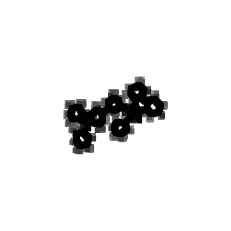 c1ccc(-c2nc3c4ccccc4c4ccccc4c3n2-c2cccc(-c3ccc4c(c3)c3ccccc3n4-c3ccccc3)c2)cc1